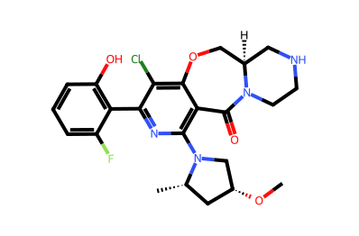 CO[C@@H]1C[C@H](C)N(c2nc(-c3c(O)cccc3F)c(Cl)c3c2C(=O)N2CCNC[C@@H]2CO3)C1